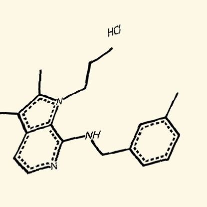 CCCn1c(C)c(C)c2ccnc(NCc3cccc(C)c3)c21.Cl